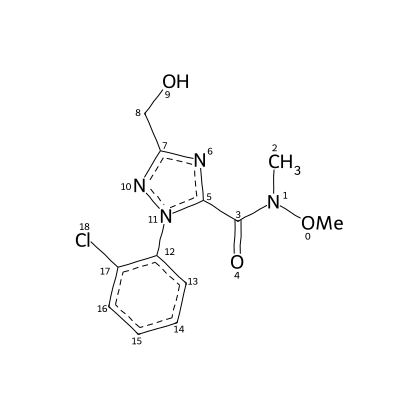 CON(C)C(=O)c1nc(CO)nn1-c1ccccc1Cl